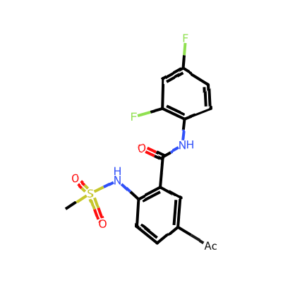 CC(=O)c1ccc(NS(C)(=O)=O)c(C(=O)Nc2ccc(F)cc2F)c1